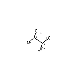 CC(C)C(C)C(C)[O]